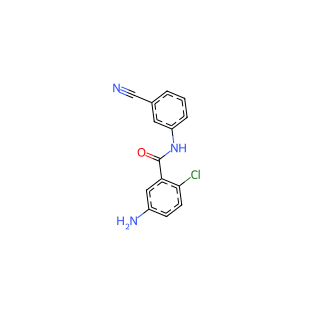 N#Cc1cccc(NC(=O)c2cc(N)ccc2Cl)c1